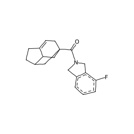 O=C(N1Cc2cccc(F)c2C1)C12CC=C3CCC(C1)C3C2